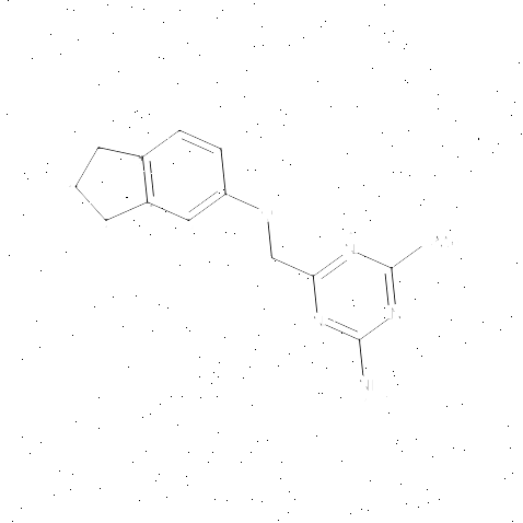 CSc1nc(N)nc(COc2ccc3c(c2)CCC3)n1